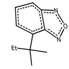 CCC(C)(C)c1cccc2nonc12